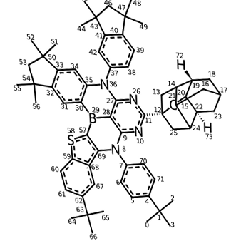 CC(C)(C)c1ccc(N2c3nc([C@]45CC6C7CC8C[C@@H]6C(C4)[C@@H](C8)C7C5)nc4c3B(c3cc5c(cc3N4c3ccc4c(c3)C(C)(C)CC4(C)C)C(C)(C)CC5(C)C)c3sc4ccc(C(C)(C)C)cc4c32)cc1